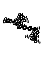 COC(=O)NC(C(=O)N1CCC[C@H]1c1nc(-c2ccc(-c3ccc(-c4cnc([C@@H]5C[C@@H](OC(=O)N6Cc7cc8c(cc7C6)OCO8)CN5C(=O)[C@@H](NC(=O)OC)C(C)C)[nH]4)cc3)cc2)c[nH]1)C(C)C